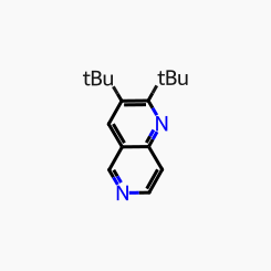 CC(C)(C)c1cc2cnccc2nc1C(C)(C)C